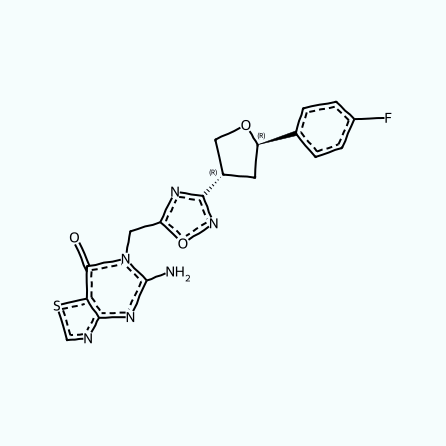 Nc1nc2ncsc2c(=O)n1Cc1nc([C@@H]2CO[C@@H](c3ccc(F)cc3)C2)no1